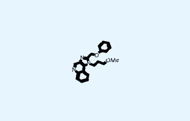 COCCCn1c(COc2ccccc2)nc2cnc3ccccc3c21